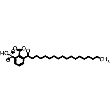 CCCCCCCCCCCCCCCCCC(=O)c1cccc(S(=O)(=O)O)c1I(=O)=O